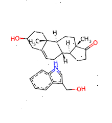 C[C@]12CC[C@H](O)CC1=CC[C@@H]1[C@@H]2CC[C@]2(C)C(=O)CC[C@@H]12.OCc1c[nH]c2ccccc12